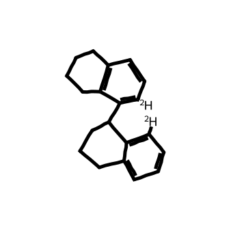 [2H]c1cccc2c1C(c1c([2H])ccc3c1CCCC3)CCC2